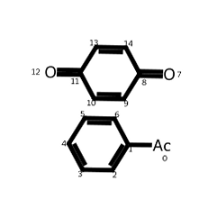 CC(=O)c1ccccc1.O=C1C=CC(=O)C=C1